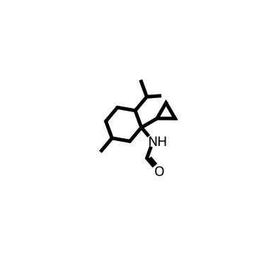 CC1CCC(C(C)C)C(NC=O)(C2CC2)C1